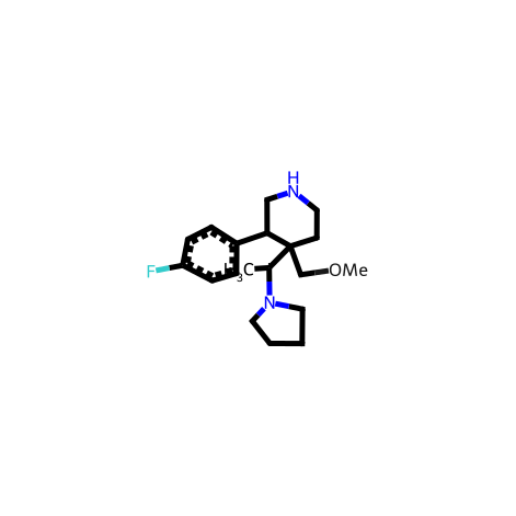 COCC1([C](C)N2CCCC2)CCNCC1c1ccc(F)cc1